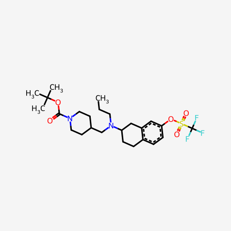 CCCN(CC1CCN(C(=O)OC(C)(C)C)CC1)C1CCc2ccc(OS(=O)(=O)C(F)(F)F)cc2C1